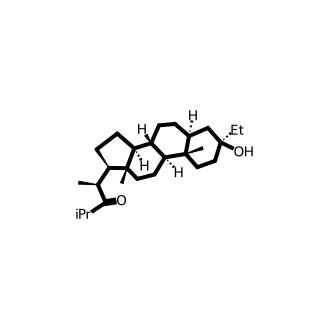 CC[C@]1(O)CC[C@@]2(C)[C@@H](CC[C@@H]3[C@@H]2CC[C@]2(C)[C@@H]([C@H](C)C(=O)C(C)C)CC[C@@H]32)C1